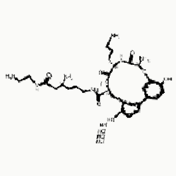 Cl.Cl.Cl.Cl.NCCC[C@@H]1NC(=O)[C@@H](N)Cc2cc(ccc2O)-c2ccc(O)c(c2)C[C@@H](C(=O)NCCC[C@H](N)CC(=O)NCCN)NC1=O